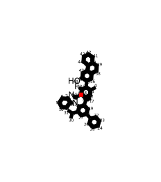 Cc1ccc(-c2nc3ccccc3n2-c2c(C(C)C)cc(-c3ccccc3)cc2C(C)C)c(F)c1-c1cc2ccc3ccccc3c2cc1O